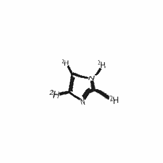 [2H]c1nc([2H])n([2H])c1[2H]